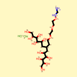 Cl.Cl.NCNOCCOCCOCCC(CC(O)C(O)C(O)C(O)CO)CC(O)C(O)C(O)C(O)CO